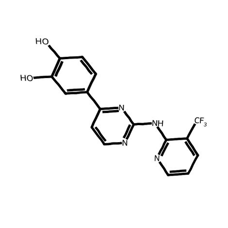 Oc1ccc(-c2ccnc(Nc3ncccc3C(F)(F)F)n2)cc1O